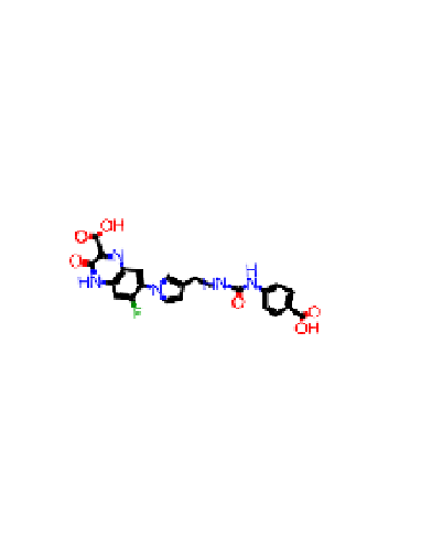 O=C(NCCc1ccn(-c2cc3nc(C(=O)O)c(=O)[nH]c3cc2F)c1)Nc1ccc(C(=O)O)cc1